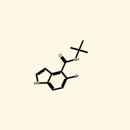 CC(C)(C)NC(=O)c1c(Br)ccc2[nH]ccc12